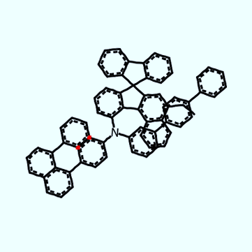 CCc1cc2c(c3ccccc13)-c1c(N(c3ccc(-c4cccc5cccc(-c6ccccc6)c45)cc3)c3cccc(-c4ccc(-c5ccccc5)cc4)c3)cccc1C21c2ccccc2-c2ccccc21